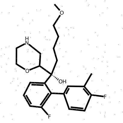 COCCCC[C@@](O)(c1cccc(F)c1-c1ccc(F)c(C)c1)C1CNCCO1